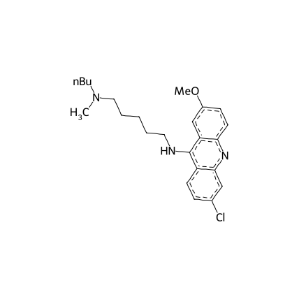 CCCCN(C)CCCCCNc1c2ccc(Cl)cc2nc2ccc(OC)cc12